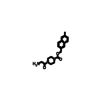 Cc1ccc2cc(COC(=O)N3CCN(C(=O)CN)CC3)ccc2c1